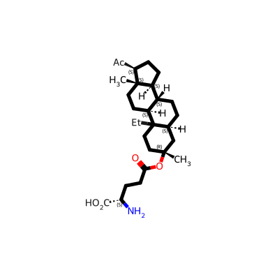 CCC12CC[C@@](C)(OC(=O)CC[C@H](N)C(=O)O)C[C@@H]1CC[C@@H]1[C@@H]2CC[C@]2(C)[C@@H](C(C)=O)CC[C@@H]12